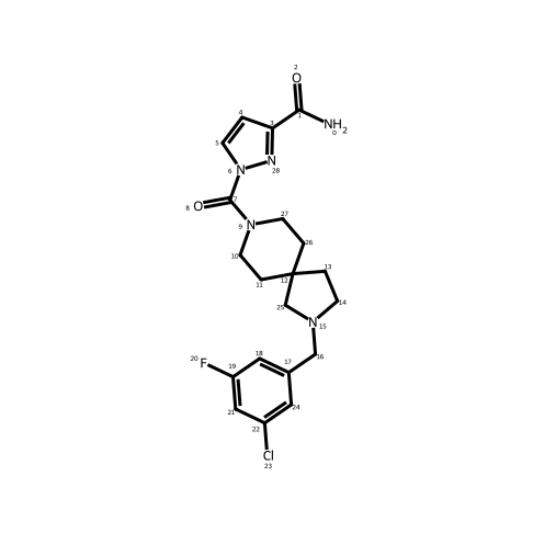 NC(=O)c1ccn(C(=O)N2CCC3(CCN(Cc4cc(F)cc(Cl)c4)C3)CC2)n1